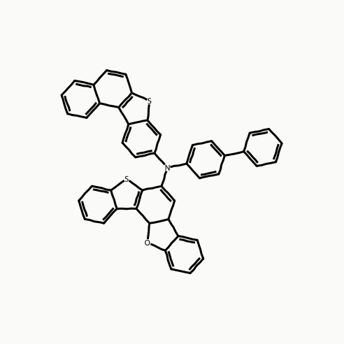 C1=C(N(c2ccc(-c3ccccc3)cc2)c2ccc3c(c2)sc2ccc4ccccc4c23)c2sc3ccccc3c2C2Oc3ccccc3C12